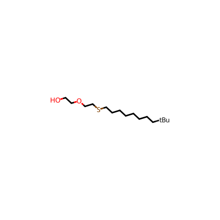 CC(C)(C)CCCCCCCCSCCOCCO